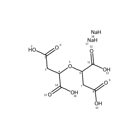 O=C(O)CC(OC(CC(=O)O)C(=O)O)C(=O)O.[NaH].[NaH]